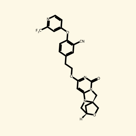 N#Cc1cc(CCOc2cc3n(c(=O)n2)C[C@]24CO[C@H](CN32)C4)ccc1Oc1ccnc(C(F)(F)F)c1